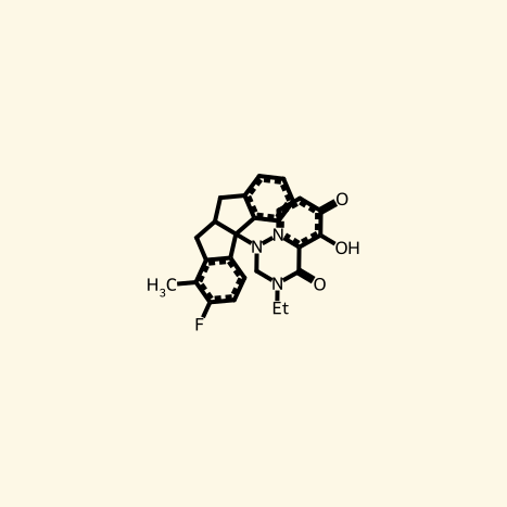 CCN1CN(C23c4ccccc4CC2Cc2c3ccc(F)c2C)n2ccc(=O)c(O)c2C1=O